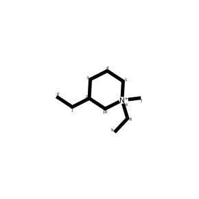 CCC1CCC[N+](C)(CC)C1